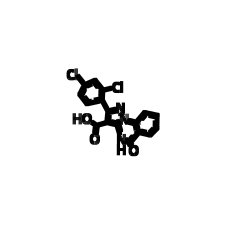 O=C(O)c1c(-c2ccc(Cl)cc2Cl)nn2c1[nH]c(=O)c1ccccc12